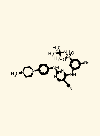 CN1CCN(c2ccc(Nc3ncc(C#N)c(Nc4cc(Br)cc(S(=O)(=O)NC(C)(C)C)c4)n3)cc2)CC1